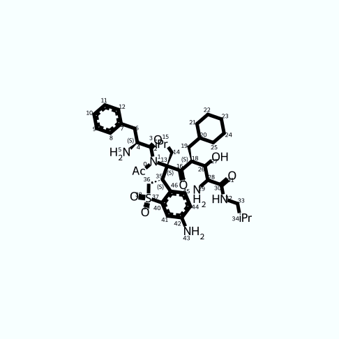 CC(=O)N(C(=O)[C@@H](N)Cc1ccccc1)[C@](CC(C)C)(C(=O)[C@@H](CC1CCCCC1)C(O)C(N)C(=O)NCC(C)C)[C@H]1CS(=O)(=O)c2cc(N)ccc21